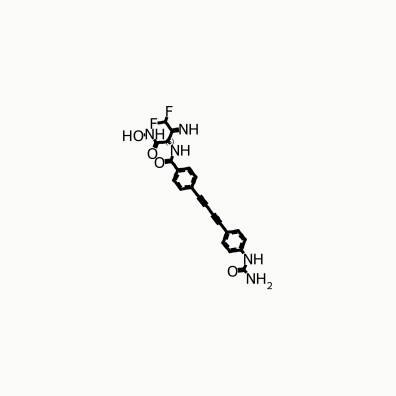 N=C(C(F)F)[C@H](NC(=O)c1ccc(C#CC#Cc2ccc(NC(N)=O)cc2)cc1)C(=O)NO